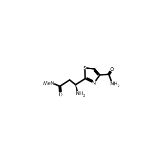 CNC(=O)C[C@H](N)c1nc(C(N)=O)cs1